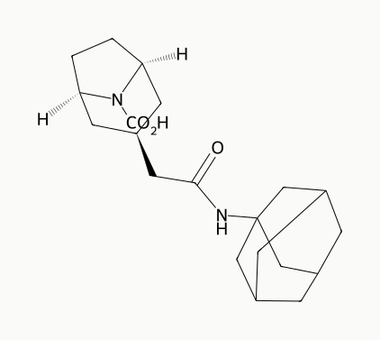 O=C(C[C@H]1C[C@H]2CC[C@@H](C1)N2C(=O)O)NC12CC3CC(CC(C3)C1)C2